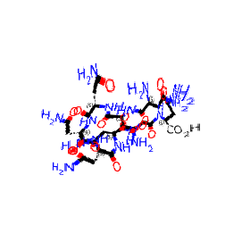 NC(=O)C[C@H](NC(=O)CNC(=O)[C@H](CC(N)=O)NC(=O)[C@H](CC(N)=O)NC(=O)[C@H](CC(N)=O)NC(=O)[C@H](CC(N)=O)NC(=O)[C@H](CC(N)=O)NC(=O)[C@@H](N)CC(N)=O)C(=O)O